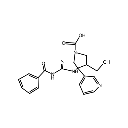 O=C(NC(=S)NC1(c2cccnc2)CN(C(=O)O)CC1CO)c1ccccc1